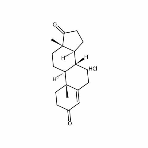 C[C@]12CCC(=O)C=C1CC[C@@H]1[C@@H]2CC[C@]2(C)C(=O)CC[C@@H]12.Cl